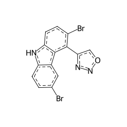 Brc1ccc2[nH]c3ccc(Br)c(-c4conn4)c3c2c1